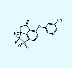 C=C1CC2(O)c3c(ccc(Oc4cncc(C#N)c4)c31)S(=O)(=O)C2(F)F